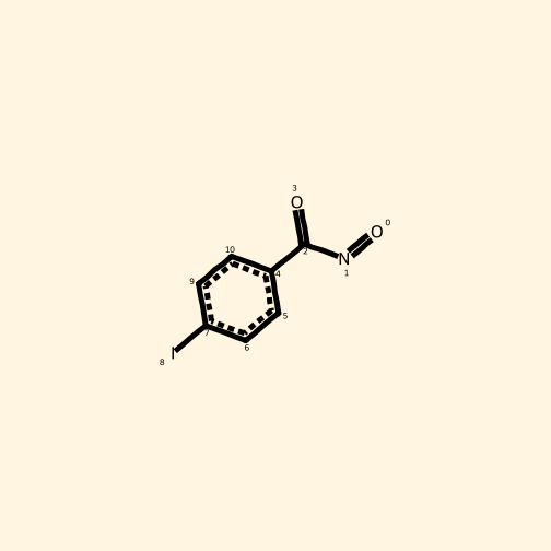 O=NC(=O)c1ccc(I)cc1